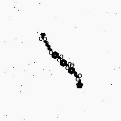 C=C(C)C(=O)OCCCCCCOc1ccc(C(=O)Oc2ccc(C(=O)Oc3ccc(/C=C/C(=O)OCC4CCCC4)cc3OC)cc2)cc1